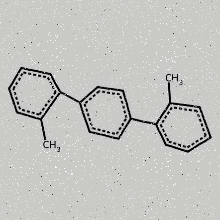 Cc1ccccc1-c1ccc(-c2ccccc2C)cc1